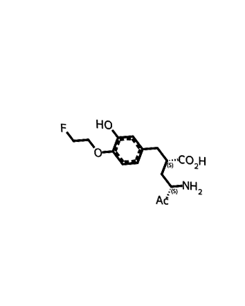 CC(=O)[C@@H](N)C[C@H](Cc1ccc(OCCF)c(O)c1)C(=O)O